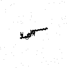 CCCCCCCCCCc1cnc(-c2ccc(OCCC(C#N)CC)cc2)nc1